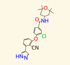 CC1(C)CC(NC(=O)c2ccc(Oc3cccc(-c4cn[nH]c4)c3C#N)c(Cl)c2)CC(C)(C)O1